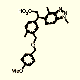 COc1ccc(COCc2cc(C(CC(=O)O)c3ccc4c(nnn4C)c3C)ccc2C)cc1